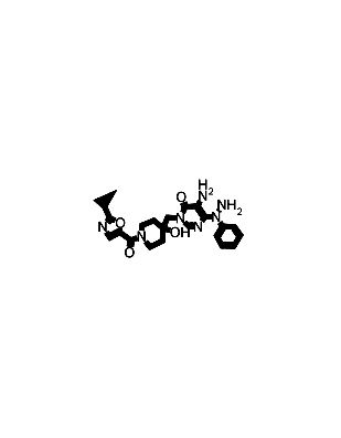 Nc1c(N(N)c2ccccc2)ncn(CC2(O)CCN(C(=O)c3cnc(C4CC4)o3)CC2)c1=O